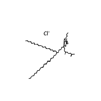 CCCCCCCCCCCCCCCCCCC(CCCCCCCCCCCCCCCCCC)CCCCC(CCC(C)CCCC(C)C)[n+]1ccn(CCCC)c1.[Cl-]